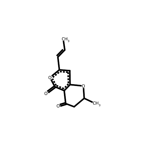 CC=Cc1cc2c(c(=O)o1)C(=O)CC(C)O2